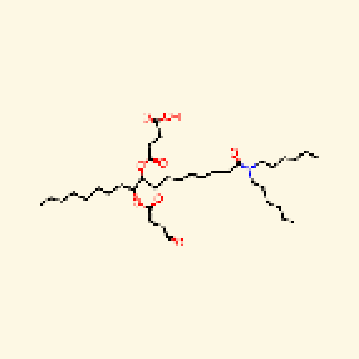 CCCCCCCCC(OC(=O)CCC=O)C(CCCCCCCC(=O)N(CCCCCC)CCCCCC)OC(=O)CCC(=O)O